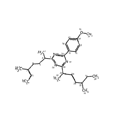 CCC(C)CCC(C)c1nc(-c2ccc(OC)cc2)nc(C(C)CCC(C)CC)n1